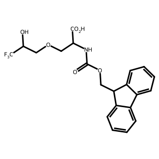 O=C(NC(COCC(O)C(F)(F)F)C(=O)O)OCC1c2ccccc2-c2ccccc21